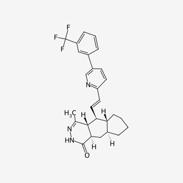 CC1=NNC(=O)[C@@H]2C[C@@H]3CCCC[C@H]3[C@H](/C=C/c3ccc(-c4cccc(C(F)(F)F)c4)cn3)[C@@H]12